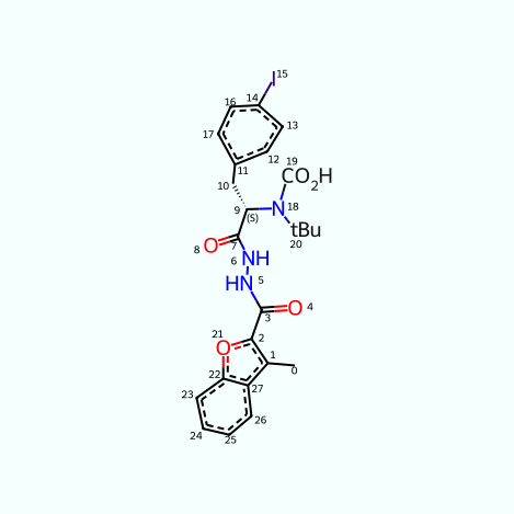 Cc1c(C(=O)NNC(=O)[C@H](Cc2ccc(I)cc2)N(C(=O)O)C(C)(C)C)oc2ccccc12